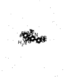 N#CC1(NC(=O)C2(c3c(C(N)=O)oc4cc(-c5ccc6c(c5)OC(F)(F)O6)ccc34)CCC(F)(F)CC2)CC1